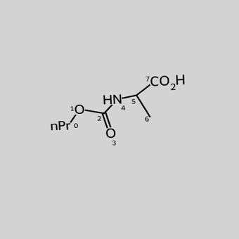 CCCOC(=O)NC(C)C(=O)O